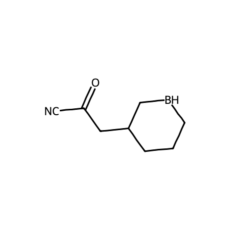 N#CC(=O)CC1CBCCC1